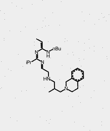 C\C=C(/N=C(\N=C\CNCC(C)CN1CCc2ccccc2C1)C(C)C)NCCCC